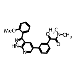 COc1ccccc1-c1n[nH]c2ncc(-c3cccc(C(=O)C(=O)N(C)C)c3)cc12